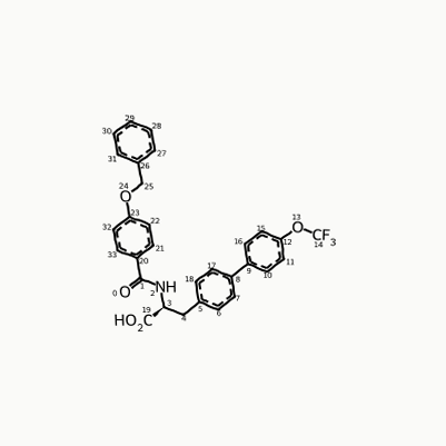 O=C(N[C@@H](Cc1ccc(-c2ccc(OC(F)(F)F)cc2)cc1)C(=O)O)c1ccc(OCc2ccccc2)cc1